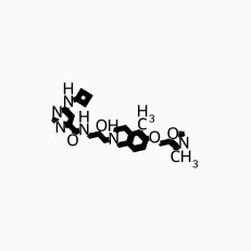 Cc1ncoc1COc1ccc2c(c1C)CCN(C[C@@H](O)CNC(=O)c1cc(NC3CCC3)ncn1)C2